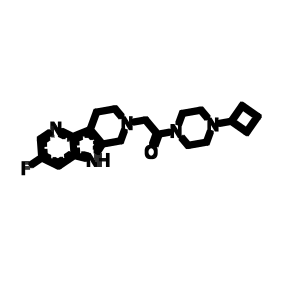 O=C(CN1CCc2c([nH]c3cc(F)cnc23)C1)N1CCN(C2CCC2)CC1